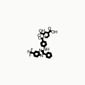 O=C(O)C1CCN(C(=O)c2ccc(Nc3nc4cc(C(F)(F)F)ccc4nc3-c3ccccc3)cc2)C(C(=O)O)C1